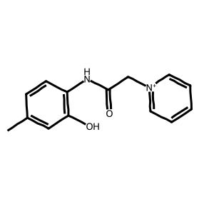 Cc1ccc(NC(=O)C[n+]2ccccc2)c(O)c1